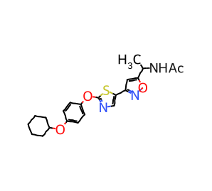 CC(=O)NC(C)c1cc(-c2cnc(Oc3ccc(OC4CCCCC4)cc3)s2)no1